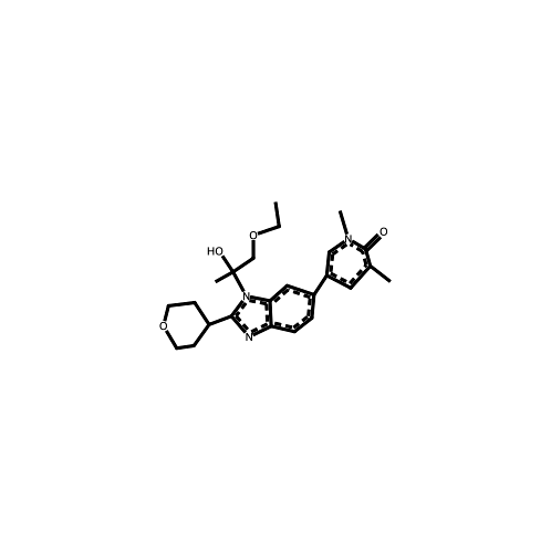 CCOCC(C)(O)n1c(C2CCOCC2)nc2ccc(-c3cc(C)c(=O)n(C)c3)cc21